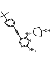 CC(C)(C)c1ccc(C#Cc2cnc(N)nc2N[C@H]2CC[C@H](O)CC2)cc1